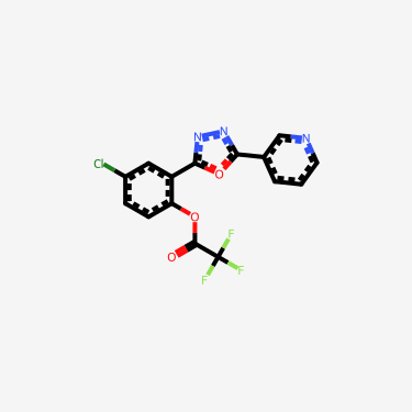 O=C(Oc1ccc(Cl)cc1-c1nnc(-c2cccnc2)o1)C(F)(F)F